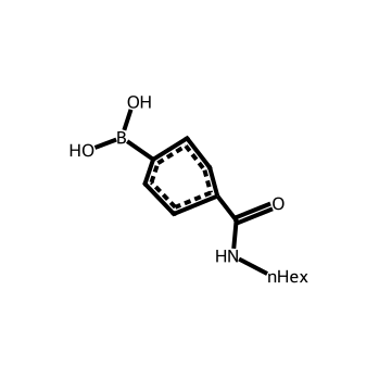 CCCCCCNC(=O)c1ccc(B(O)O)cc1